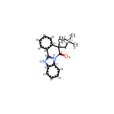 CC[Si](CC)(CC)CC1(C)C(=O)n2c(nc3ccccc32)-c2ccccc21